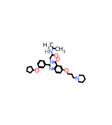 CC(C)NC(=O)Cn1c(-c2cccc(OC3CCCC3)c2)nc2ccc(OCCCN3CCCCC3)cc2c1=O